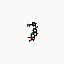 CC1C2CCC3C4CC=C5CC(N(C)c6cccc(C#N)c6)CCC5(C)C4CCC32CN1C